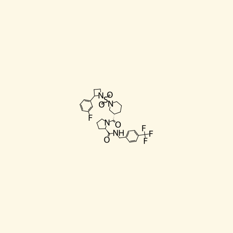 O=C(NCc1ccc(C(F)(F)F)cc1)[C@H]1CCCN1C(=O)[C@H]1CCCN(S(=O)(=O)N2CCC2c2cccc(F)c2)C1